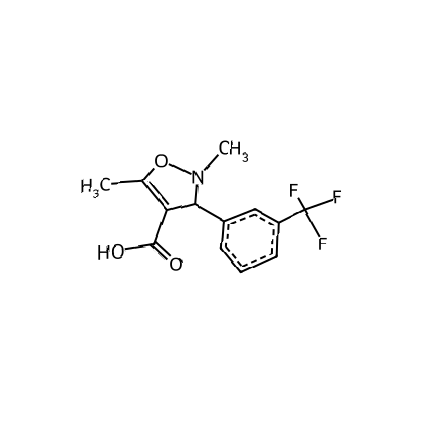 CC1=C(C(=O)O)C(c2cccc(C(F)(F)F)c2)N(C)O1